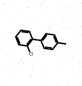 Cc1ccc(-c2[c]cccc2Cl)cc1